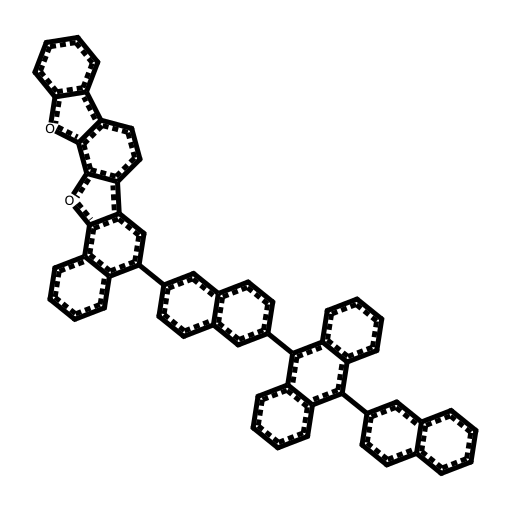 c1ccc2cc(-c3c4ccccc4c(-c4ccc5cc(-c6cc7c8ccc9c%10ccccc%10oc9c8oc7c7ccccc67)ccc5c4)c4ccccc34)ccc2c1